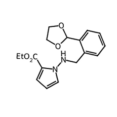 CCOC(=O)c1cccn1NCc1ccccc1C1OCCO1